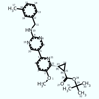 COc1ccc(-c2cnc(NCc3cccc(C)c3)nc2)nc1[C@@H]1C[C@H]1C(=O)OC(C)(C)C